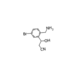 N#CCC(O)c1cc(Br)ccc1CN